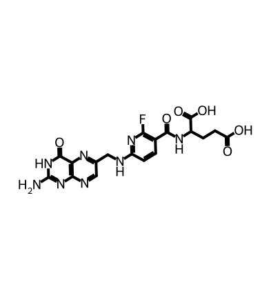 Nc1nc2ncc(CNc3ccc(C(=O)NC(CCC(=O)O)C(=O)O)c(F)n3)nc2c(=O)[nH]1